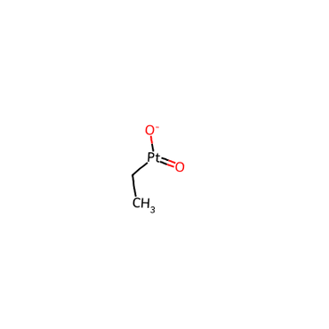 C[CH2][Pt](=[O])[O-]